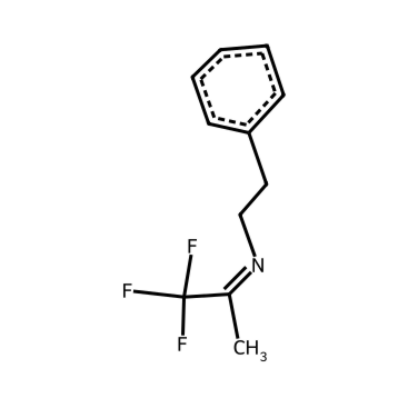 CC(=NCCc1ccccc1)C(F)(F)F